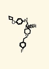 CN(CCC1(O)CCN(CCc2ccc(F)cc2)CC1)c1ccc(OC2CCC2)cc1.Cl.Cl